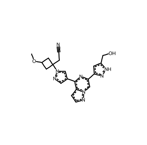 COC1CC(CC#N)(n2cc(-c3nc(-c4cc(CO)[nH]n4)cn4nccc34)cn2)C1